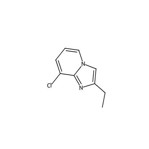 CCc1cn2cccc(Cl)c2n1